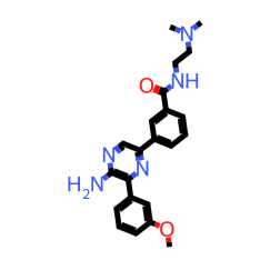 COc1cccc(-c2nc(-c3cccc(C(=O)NCCN(C)C)c3)cnc2N)c1